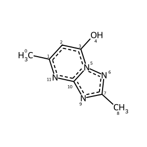 Cc1cc(O)n2nc(C)nc2n1